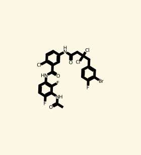 CC(=O)Nc1c(F)ccc(NC(=O)c2cc(NC(=O)CC(Cl)(Cl)Cc3ccc(F)c(Br)c3)ccc2Cl)c1F